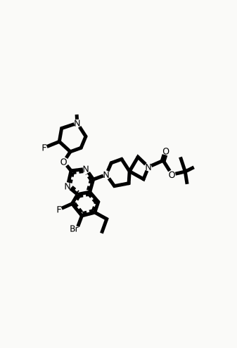 CCc1cc2c(N3CCC4(CC3)CN(C(=O)OC(C)(C)C)C4)nc(OC3CCN(C)CC3F)nc2c(F)c1Br